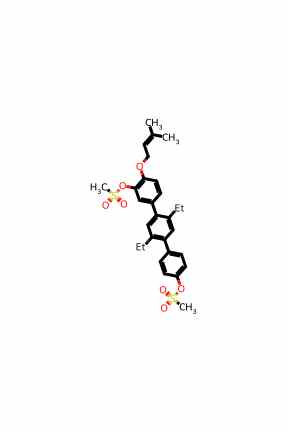 CCc1cc(-c2ccc(OCC=C(C)C)c(OS(C)(=O)=O)c2)c(CC)cc1-c1ccc(OS(C)(=O)=O)cc1